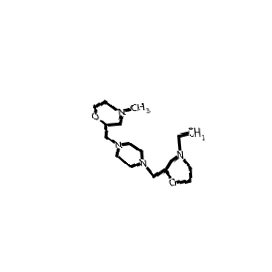 CCN1CCOC(CN2CCN(CC3CN(C)CCO3)CC2)C1